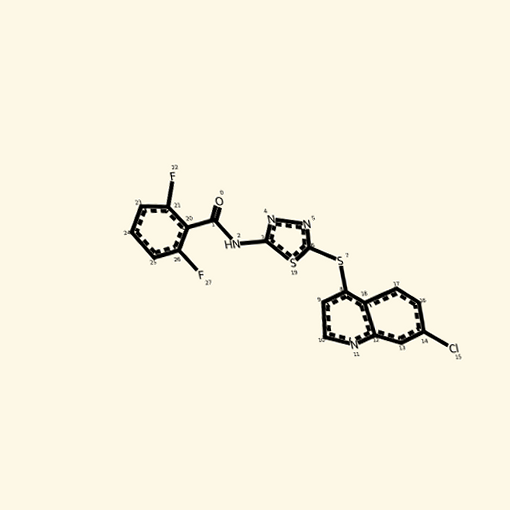 O=C(Nc1nnc(Sc2ccnc3cc(Cl)ccc23)s1)c1c(F)cccc1F